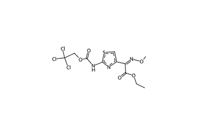 CCOC(=O)C(=NOC)c1csc(NC(=O)OCC(Cl)(Cl)Cl)n1